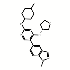 CC1CCC(Nc2ncc(-c3ccc4c(cnn4C)c3)c(O[C@@H]3CCOC3)n2)CC1